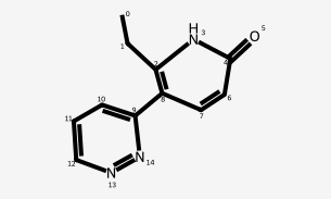 CCc1[nH]c(=O)ccc1-c1cccnn1